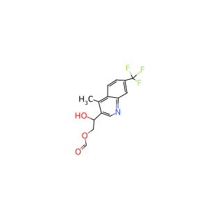 Cc1c(C(O)COC=O)cnc2cc(C(F)(F)F)ccc12